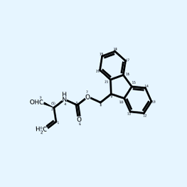 C=C[C@@H](C=O)NC(=O)OCC1c2ccccc2-c2ccccc21